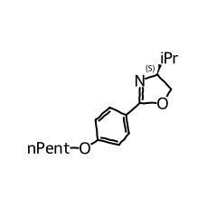 CCCCCOc1ccc(C2=N[C@@H](C(C)C)CO2)cc1